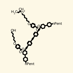 C=CC(=C)OCCCCCCOc1ccc(C(=O)OC2(C#Cc3ccc(C#Cc4ccc(C#CC5(OC(=O)c6ccc(OCCCCCCO)cc6)CCC(C6CCC(CCCCC)CC6)CC5)cc4)cc3)CCC(C3CCC(CCCCC)CC3)CC2)cc1